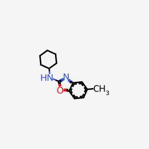 Cc1ccc2oc(NC3CCCCC3)nc2c1